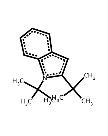 CC(C)(C)c1cc2ccccc2n1C(C)(C)C